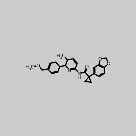 COCC1=CCC(C2N=C(NC(=O)C3(c4ccc5c(c4)OCO5)CC3)C=CC2C)C=C1